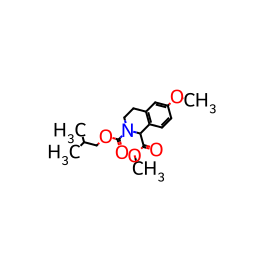 COC(=O)C1c2ccc(OC)cc2CCN1C(=O)OCC(C)C